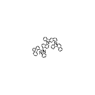 c1cc(-n2c3ccccc3c3c4ccccc4ccc32)c2cc3c(cc2c1)c1ccccc1n3-c1cccc2c(-c3nc4ccccc4nc3-c3cccc4oc5ccccc5c34)cccc12